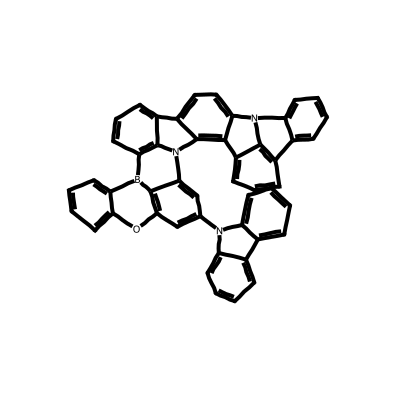 c1ccc2c(c1)Oc1cc(-n3c4ccccc4c4ccccc43)cc3c1B2c1cccc2c4ccc5c(c6cccc7c8ccccc8n5c76)c4n-3c12